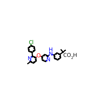 Cc1ccc(Oc2ccnc(Nc3cccc(C(C)(C)C(=O)O)c3)c2)c(-c2ccc(Cl)cc2)n1